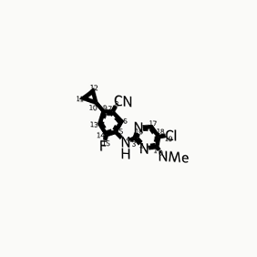 CNc1nc(Nc2cc(C#N)c(C3CC3)cc2F)ncc1Cl